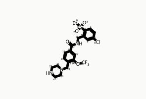 CCS(=O)(=O)c1ccc(Cl)cc1CNC(=O)c1ccc(CN2CCNCC2)c(OC(F)(F)F)c1